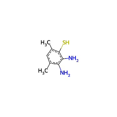 Cc1cc(C)c(S)c(N)c1N